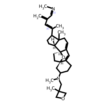 C=C(/C=N\C)/C=C(\C)C1CC[C@@H]2C1(C)CC=C1C=C3CCC(N(C)CC4(C)COC4)C[C@]34CC[C@@]12O4